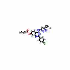 CNC(=O)Oc1ccc2c(Nc3cc(C)[nH]n3)nc(-c3ccc(Cl)cc3)nc2c1